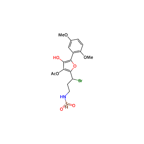 COc1ccc(OC)c(-c2oc(C(Br)CCN[SH](=O)=O)c(OC(C)=O)c2O)c1